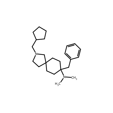 CN(C)C1(Cc2ccccc2)CCC2(CCN(CC3CCCC3)C2)CC1